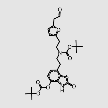 CC(C)(C)OC(=O)Oc1ccc(CCN(CCc2ccc(CC=O)o2)C(=O)OC(C)(C)C)c2sc(=O)[nH]c12